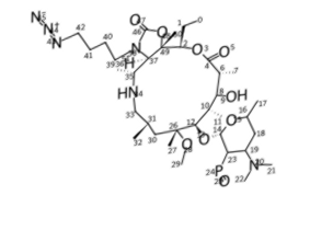 CC[C@H]1OC(=O)[C@H](C)C(O)[C@H](C)[C@@H](O[C@@H]2OC(C)CC(N(C)C)C2P=O)[C@](C)(OC)C[C@@H](C)CN[C@H](C)[C@H]2N(CCCCN=[N+]=[N-])C(=O)O[C@]12C